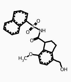 COc1ccc(CO)c2c1C(C(=O)NS(=O)(=O)c1cccc3ccccc13)CC2